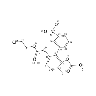 COC(=O)Oc1c(C)nc(C)c(OC(=O)OCCCl)c1-c1cccc([N+](=O)[O-])c1